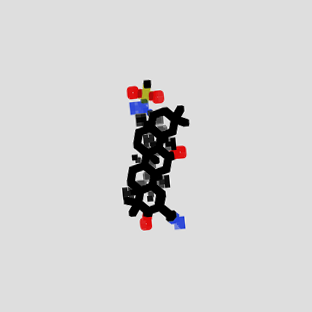 CC1(C)C[C@H]2[C@H](CC[C@]3(C)[C@@H]2C(=O)C[C@@H]2[C@@]4(C)C=C(C#N)C(=O)C(C)(C)[C@@H]4CC[C@]23C)[C@H](NS(C)(=O)=O)C1